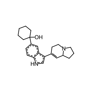 OC1(c2ccc3[nH]cc(C4=CC5CCCN5CC4)c3c2)CCCCC1